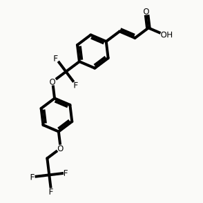 O=C(O)C=Cc1ccc(C(F)(F)Oc2ccc(OCC(F)(F)F)cc2)cc1